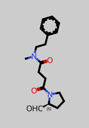 CN(CCc1ccccc1)C(=O)CCC(=O)N1CCC[C@H]1C=O